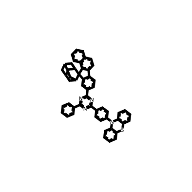 c1ccc(-c2nc(-c3ccc(N4c5ccccc5Sc5ccccc54)cc3)nc(-c3ccc4c(c3)C3(c5c-4ccc4ccccc54)C4CC5CC(C4)CC3C5)n2)cc1